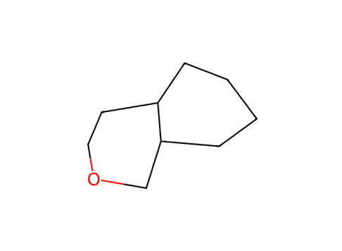 C1CCC2COCCC2C1